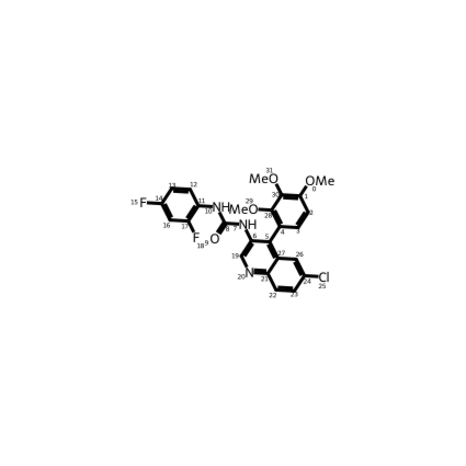 COc1ccc(-c2c(NC(=O)Nc3ccc(F)cc3F)cnc3ccc(Cl)cc23)c(OC)c1OC